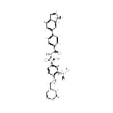 O=C(NS(=O)(=O)c1ccc(NCC2CCCCC2)c([N+](=O)[O-])c1)c1ccc(-c2ccc3cc[nH]c3c2)cc1